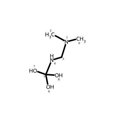 CN(C)CNC(O)(O)O